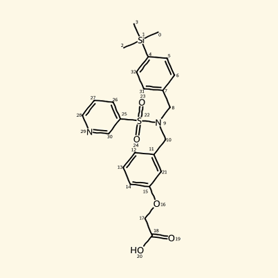 C[Si](C)(C)c1ccc(CN(Cc2cccc(OCC(=O)O)c2)S(=O)(=O)c2cccnc2)cc1